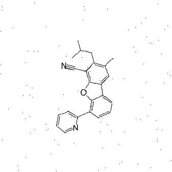 Cc1cc2c(oc3c(-c4ccccn4)cccc32)c(C#N)c1CC(C)C